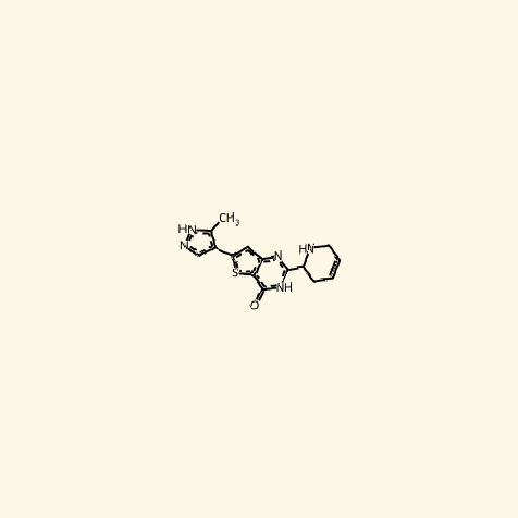 Cc1[nH]ncc1-c1cc2nc(C3CC=CCN3)[nH]c(=O)c2s1